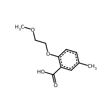 COCCOc1ccc(C)cc1C(=O)O